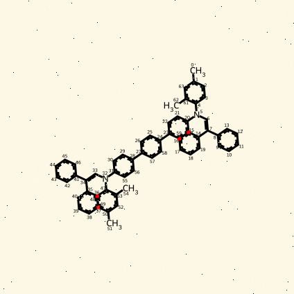 Cc1ccc(N(C=C(c2ccccc2)c2ccccc2)c2ccc(-c3ccc(-c4ccc(N(C=C(c5ccccc5)c5ccccc5)c5ccc(C)cc5C)cc4)cc3)cc2)c(C)c1